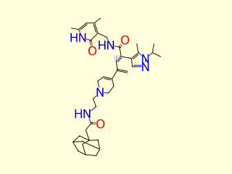 C=C(/C=C(/C(=O)NCc1c(C)cc(C)[nH]c1=O)c1cnn(C(C)C)c1C)C1=CCN(CCNC(=O)CC23CC4CC(CC(C4)C2)C3)CC1